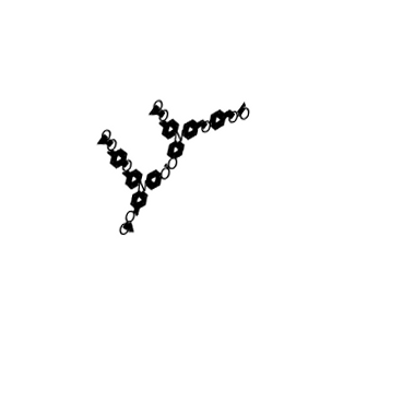 c1cc(N(c2ccc(COC3CO3)cc2)c2ccc(OCOc3ccc(N(c4ccc(COc5ccc(COC6CO6)cc5)cc4)c4ccc(COC5CO5)cc4)cc3)cc2)ccc1COc1ccc(COC2CO2)cc1